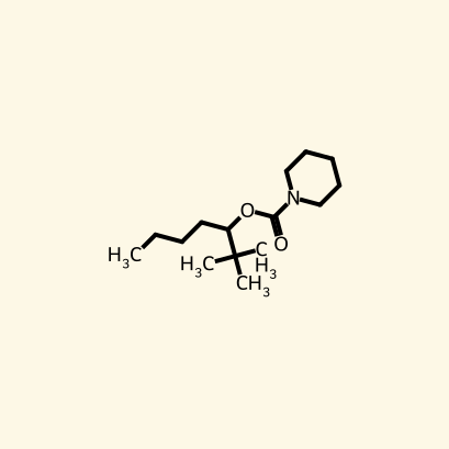 CCCCC(OC(=O)N1CCCCC1)C(C)(C)C